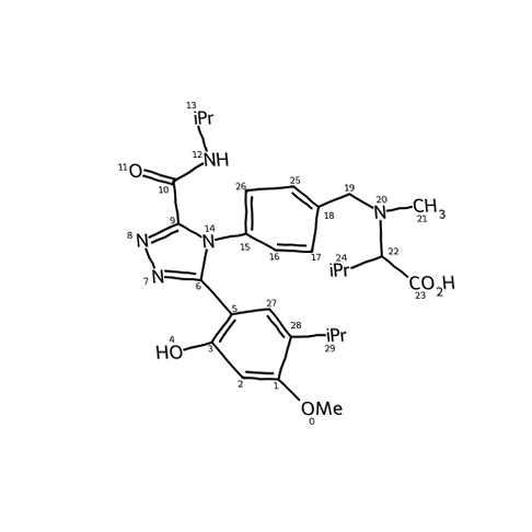 COc1cc(O)c(-c2nnc(C(=O)NC(C)C)n2-c2ccc(CN(C)C(C(=O)O)C(C)C)cc2)cc1C(C)C